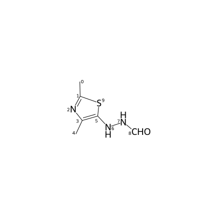 Cc1nc(C)c(NNC=O)s1